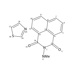 CNN1C(=O)c2cccc3cccc(c23)C1=O.c1cscn1